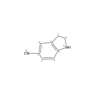 [C-]#[N+]c1ccc2c(c1)CCN2